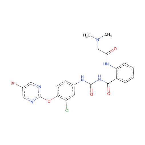 CN(C)CC(=O)Nc1ccccc1C(=O)NC(=O)Nc1ccc(Oc2ncc(Br)cn2)c(Cl)c1